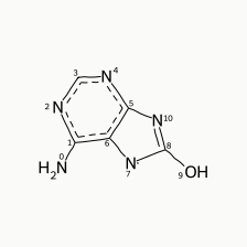 Nc1ncnc2c1[N]C(O)=N2